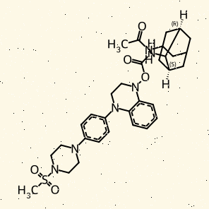 CC(=O)NC12CC3C[C@H](C1)C(NC(=O)ON1CCN(c4ccc(N5CCN(S(C)(=O)=O)CC5)cc4)c4ccccc41)[C@@H](C3)C2